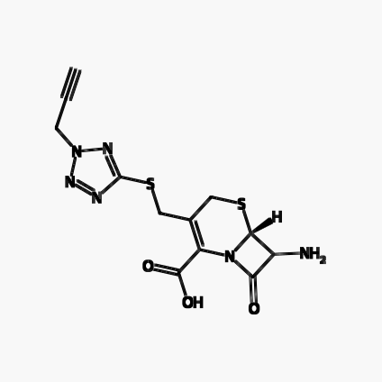 C#CCn1nnc(SCC2=C(C(=O)O)N3C(=O)C(N)[C@H]3SC2)n1